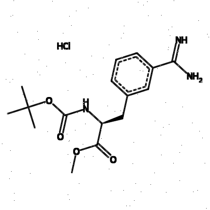 COC(=O)[C@H](Cc1cccc(C(=N)N)c1)NC(=O)OC(C)(C)C.Cl